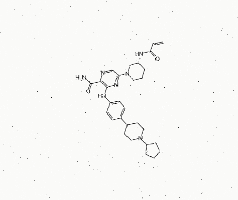 C=CC(=O)N[C@@H]1CCCN(c2cnc(C(N)=O)c(Nc3ccc(C4CCN(C5CCCC5)CC4)cc3)n2)C1